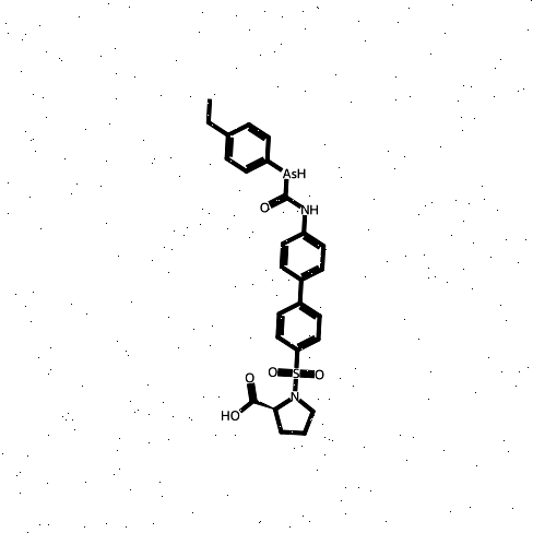 CCc1ccc([AsH]C(=O)Nc2ccc(-c3ccc(S(=O)(=O)N4CCC[C@H]4C(=O)O)cc3)cc2)cc1